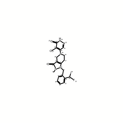 Cn1c(=O)c2c(n1Cc1ccccc1C(F)I)CCN(c1cn[nH]c(=O)c1Cl)C2